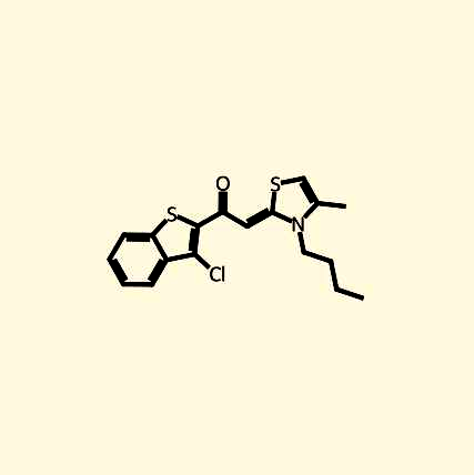 CCCCN1C(C)=CS/C1=C\C(=O)c1sc2ccccc2c1Cl